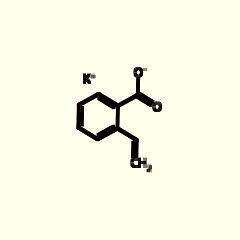 C=Cc1ccccc1C(=O)[O-].[K+]